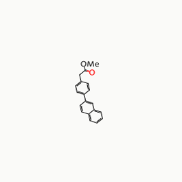 COC(=O)Cc1ccc(-c2ccc3ccccc3c2)cc1